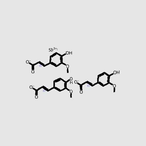 COc1cc(/C=C/C(=O)[O-])ccc1O.COc1cc(/C=C/C(=O)[O-])ccc1O.COc1cc(/C=C/C(=O)[O-])ccc1O.[Sb+3]